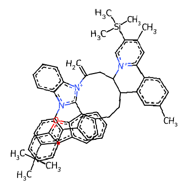 C=C1CC2C(CCc3ccc4c(oc5ccccc54)c3-c3n(-c4ccc(C(C)(C)C)cc4-c4ccccc4)c4ccccc4[n+]31)c1cc(C)ccc1-c1cc(C)c([Si](C)(C)C)c[n+]12